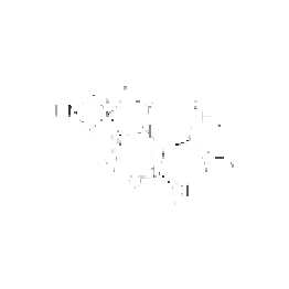 CC(C)[C@@H](C(=O)O)N1CCC2(CNC2)C1=O